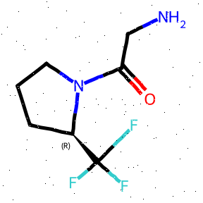 NCC(=O)N1CCC[C@@H]1C(F)(F)F